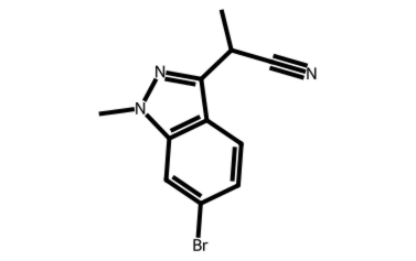 CC(C#N)c1nn(C)c2cc(Br)ccc12